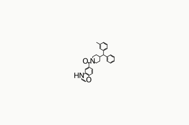 Cc1cccc(C(c2ccccc2)C2CCN(C(=O)c3ccc4c(c3)NC=CO4)CC2)c1